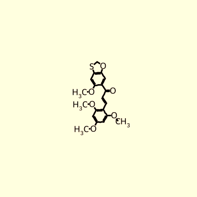 COc1cc(OC)c(/C=C/C(=O)c2cc3c(cc2OC)SCO3)c(OC)c1